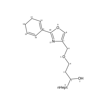 CCCCCCCC(O)CCOCc1coc(C2=CCCC=C2)n1